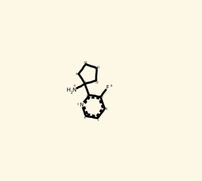 NC1(c2nc[c]cc2F)CCCC1